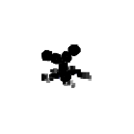 C=C/C=C\C=C(/C)c1cc(C)cc(/C(=C/C=C)CCC)c1-c1ccc(N(c2ccc(C3=CC=CCC=C3)cc2)c2ccc(C3=CCCC=C3)cc2)cc1